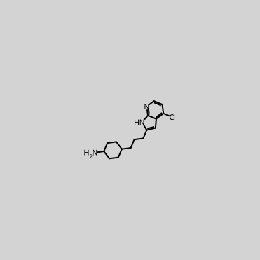 NC1CCC(CCCc2cc3c(Cl)ccnc3[nH]2)CC1